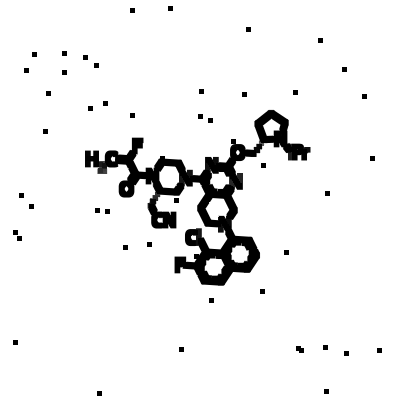 C=C(F)C(=O)N1CCN(c2nc(OC[C@@H]3CCCN3C(C)C)nc3c2CCN(c2cccc4ccc(F)c(Cl)c24)C3)C[C@@H]1CC#N